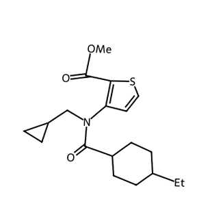 CCC1CCC(C(=O)N(CC2CC2)c2ccsc2C(=O)OC)CC1